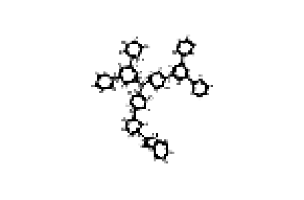 c1ccc(-c2cc(-c3ccccc3)cc(-c3ccc(N(c4ccc(-c5cccc(-c6cc7ccccc7o6)c5)cc4)c4cc(-c5ccccc5)cc(-c5ccccc5)c4)cc3)c2)cc1